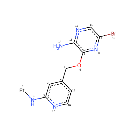 CCNc1cc(COc2nc(Br)cnc2N)ccn1